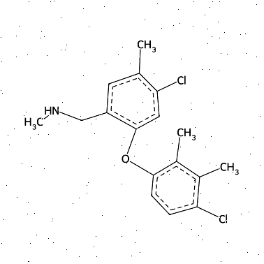 CNCc1cc(C)c(Cl)cc1Oc1ccc(Cl)c(C)c1C